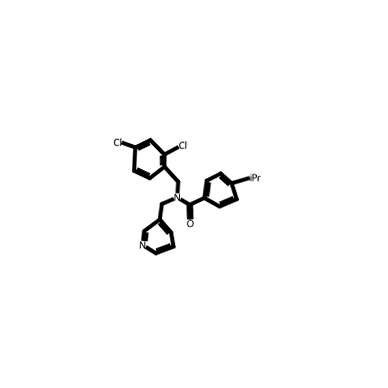 CC(C)c1ccc(C(=O)N(Cc2cccnc2)Cc2ccc(Cl)cc2Cl)cc1